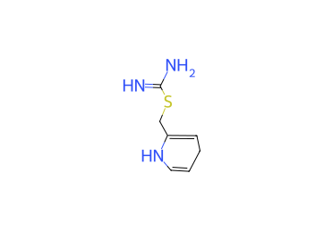 N=C(N)SCC1=CCC=CN1